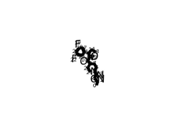 Cc1nnc(N2CCC(C(=O)N3OCC[C@H]3c3cc(F)cc(F)c3)CC2)o1